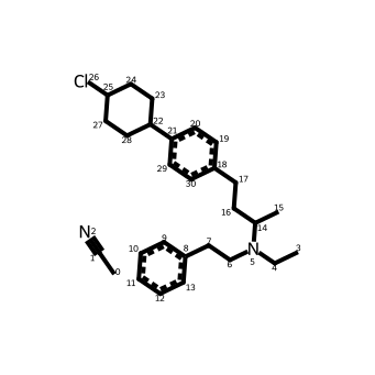 CC#N.CCN(CCc1ccccc1)C(C)CCc1ccc(C2CCC(Cl)CC2)cc1